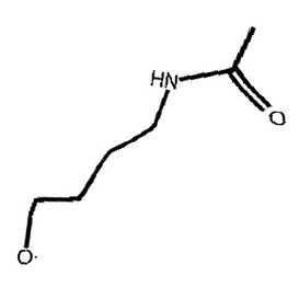 CC(=O)NCCCC[O]